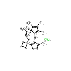 CCCC[Si]1(C2=[C]([Zr+2][C]3=C(C)C(C)=C(C)C3(C)C)C(C)=CC2)CCC1.[Cl-].[Cl-]